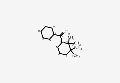 CC1(C)CCCN(C(=O)C2CCCCC2)C1(C)C